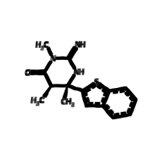 C[C@H]1C(=O)N(C)C(=N)N[C@]1(C)c1cc2ccccc2s1